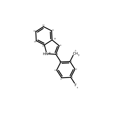 Cc1cc(F)ccc1-c1cc2ccccc2[nH]1